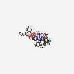 CC(=O)Oc1ccccc1C(=O)Oc1c2n(ccc1=O)N([C@@H]1c3ccccc3SCc3c1ccc(F)c3F)[C@@H]1COCCN1C2=O